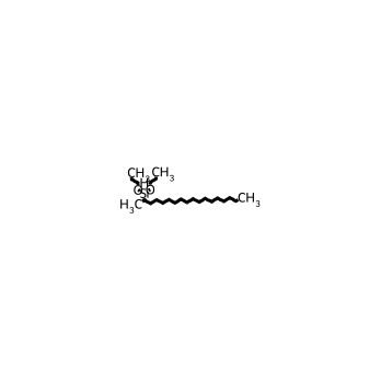 CCCCCCCCCCCCCCCCC(C)[SiH](OCCC)OCCC